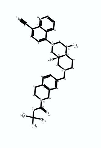 C[C@@H]1CN(c2ccc(C#N)c3ncccc23)C[C@H]2CN(Cc3ccc4c(c3)CN(C(=O)OC(C)(C)C)CC4)CCN21